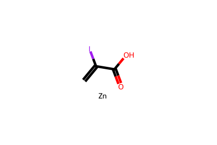 C=C(I)C(=O)O.[Zn]